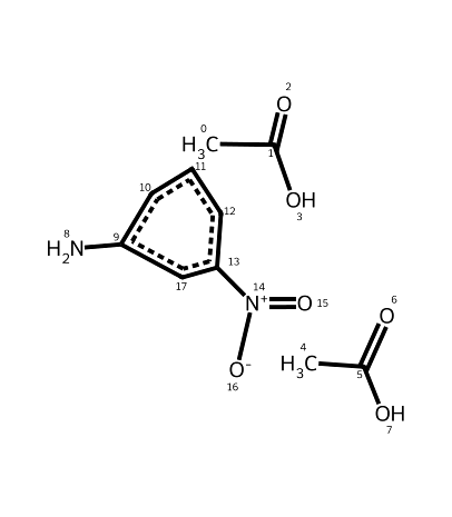 CC(=O)O.CC(=O)O.Nc1cccc([N+](=O)[O-])c1